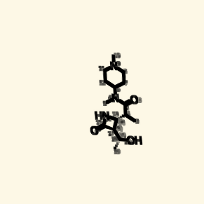 CC(C(=O)N(C)C1CCN(C)CC1)[C@H]1NC(=O)[C@@H]1[C@@H](C)O